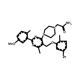 COc1ccc(C)c(-c2nc(C)c(COc3cc(C(C)C)ccc3C)c(N3CCN(CC(N)=O)CC3)n2)c1